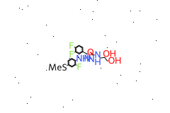 CSc1ccc(Nc2c(-c3nnc(NC[C@@H](O)CO)o3)ccc(F)c2F)c(F)c1